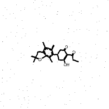 CCC(=O)C1=C(O)CC(c2c(C)c(C)c3c(c2C)OC(C)(C)C3)CC1=O